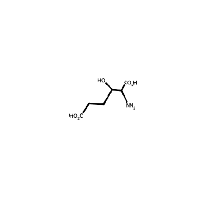 NC(C(=O)O)C(O)CCC(=O)O